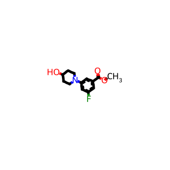 COC(=O)c1cc(F)cc(N2CCC(O)CC2)c1